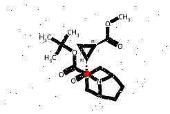 COC(=O)[C@@H]1C[C@H]1C(=O)N1C2CCC1CN(C(=O)OC(C)(C)C)C2